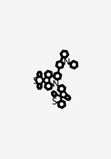 c1ccc(-n2c3ccccc3c3ccc(-c4ccc(N(c5ccc6c(c5)C5(c7ccccc7Sc7ccccc75)c5ccccc5-6)c5cccc6c5-c5ccccc5C65c6ccccc6Sc6ccccc65)cc4)cc32)cc1